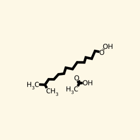 CC(=O)O.CC(C)CCCCCCCCCCCOO